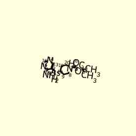 CC(C)(C)OC(=O)N1CCC([AsH]c2cncnc2N)CC1